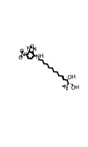 CN(C)[C@@H](CO)[C@H](O)/C=C/CCCCCCCCCNc1ccc([N+](=O)[O-])c2nonc12